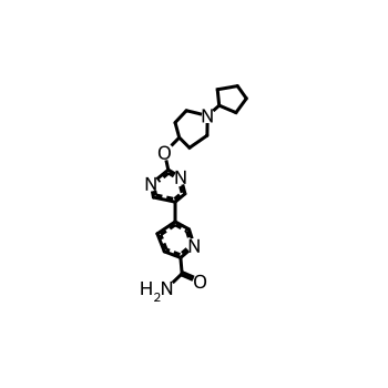 NC(=O)c1ccc(-c2cnc(OC3CCN(C4CCCC4)CC3)nc2)cn1